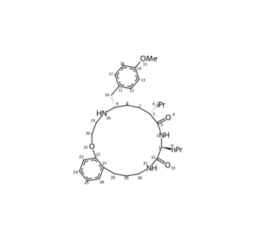 CCC[C@@H]1NC(=O)[C@@H](C(C)C)CC[C@@H](Cc2ccc(OC)cc2)NCCOc2ccccc2CCCNC1=O